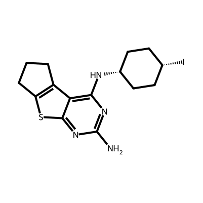 Nc1nc(N[C@H]2CC[C@@H](I)CC2)c2c3c(sc2n1)CCC3